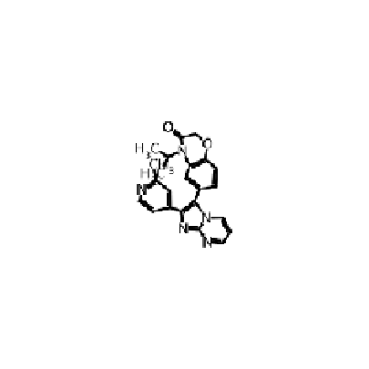 Cc1cc(-c2nc3ncccn3c2-c2ccc3c(c2)N(C(C)C)C(=O)CO3)ccn1